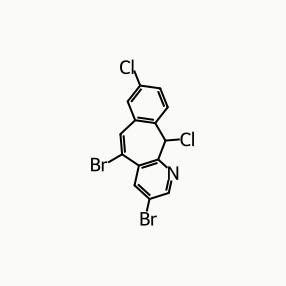 Clc1ccc2c(c1)C=C(Br)c1cc(Br)cnc1C2Cl